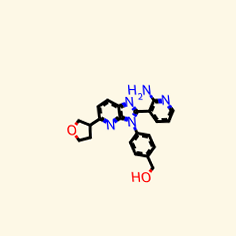 Nc1ncccc1-c1nc2ccc(C3CCOC3)nc2n1-c1ccc(CO)cc1